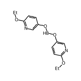 CCOc1ccc(OBOc2ccc(OCC)nc2)cn1